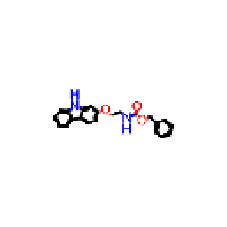 O=C(NCCOc1ccc2c(c1)[nH]c1ccccc12)OCc1ccccc1